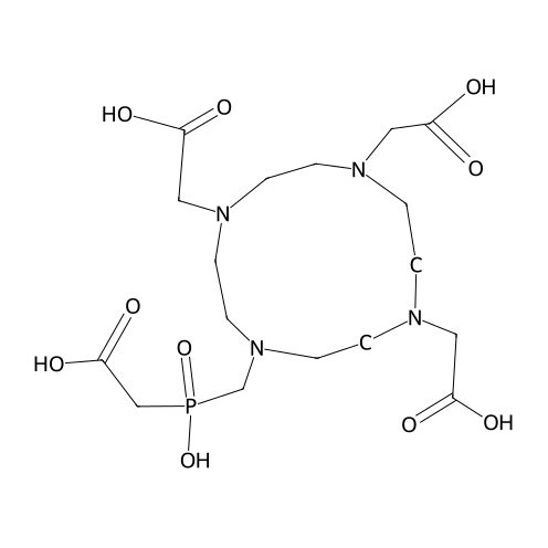 O=C(O)CN1CCN(CC(=O)O)CCN(CP(=O)(O)CC(=O)O)CCN(CC(=O)O)CC1